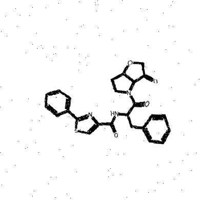 O=C(NC(Cc1ccccc1)C(=O)N1CCC2OCC(=O)C21)c1csc(-c2ccccc2)n1